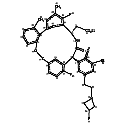 CCOC(=O)C[C@@H]1NC(=O)[C@@H](n2cc(CCN3CC(F)C3)cc(CC)c2=O)c2cc(ccc2F)COc2cccc(C)c2-c2cc(C)c(F)c1c2